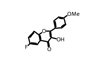 COc1ccc(-c2oc3ccc(F)cc3c(=O)c2O)cc1